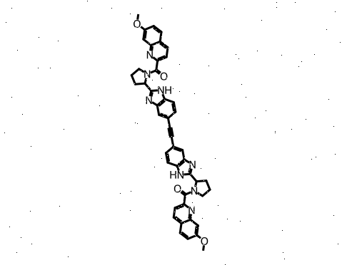 COc1ccc2ccc(C(=O)N3CCCC3c3nc4cc(C#Cc5ccc6[nH]c(C7CCCN7C(=O)c7ccc8ccc(OC)cc8n7)nc6c5)ccc4[nH]3)nc2c1